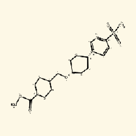 CC(C)(C)OC(=O)N1CCC(CO[C@H]2CC[C@@H](c3ccc(S(C)(=O)=O)nc3)CC2)CC1